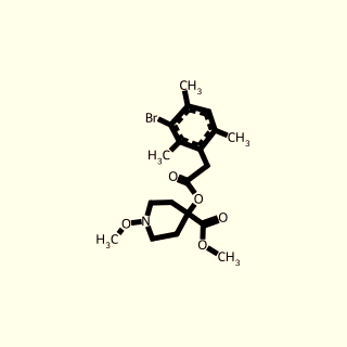 COC(=O)C1(OC(=O)Cc2c(C)cc(C)c(Br)c2C)CCN(OC)CC1